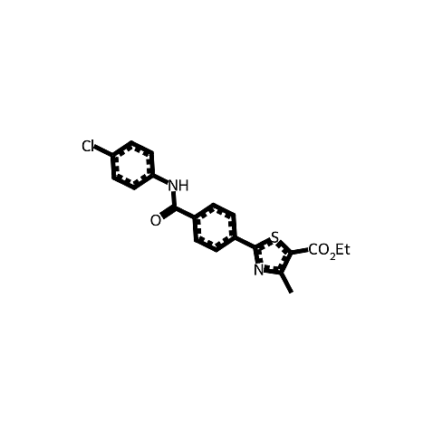 CCOC(=O)c1sc(-c2ccc(C(=O)Nc3ccc(Cl)cc3)cc2)nc1C